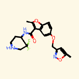 Cc1cc(COc2ccc3oc(C)c(C(=O)NC4CCNCC4(F)F)c3c2)no1